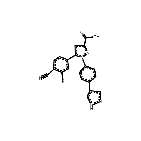 N#Cc1ccc(-c2cc(C(=O)O)nn2-c2ccc(-c3cn[nH]c3)cc2)cc1F